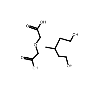 CC(CCO)CCO.O=C(O)COCC(=O)O